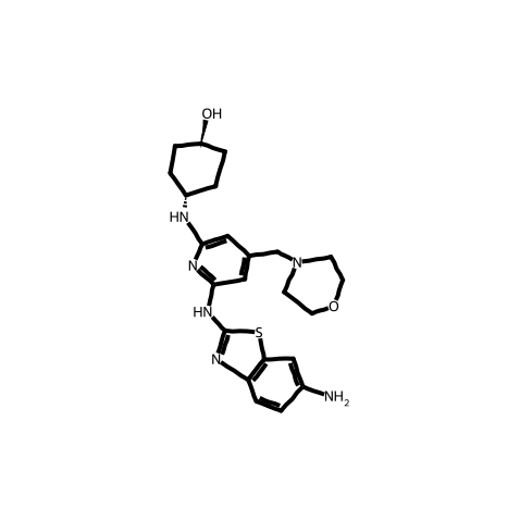 Nc1ccc2nc(Nc3cc(CN4CCOCC4)cc(N[C@H]4CC[C@H](O)CC4)n3)sc2c1